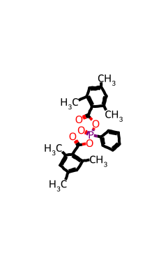 Cc1cc(C)c(C(=O)OP(=O)(OC(=O)c2c(C)cc(C)cc2C)c2ccccc2)c(C)c1